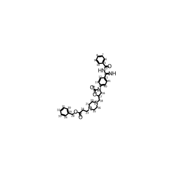 N=C(NC(=O)c1ccccc1)c1ccc(N2CC(CN3CCN(CCC(=O)OCc4ccccc4)CC3)OC2=O)cc1